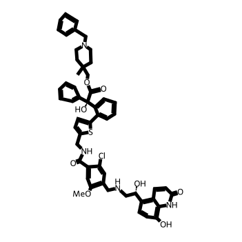 COc1cc(C(=O)NCc2ccc(-c3ccccc3[C@](O)(C(=O)OCC3(C)CCN(Cc4ccccc4)CC3)c3ccccc3)s2)c(Cl)cc1CNC[C@H](O)c1ccc(O)c2[nH]c(=O)ccc12